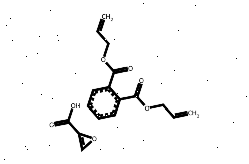 C=CCOC(=O)c1ccccc1C(=O)OCC=C.O=C(O)C1=CO1